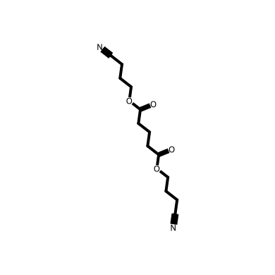 N#CCCCOC(=O)CCCC(=O)OCCCC#N